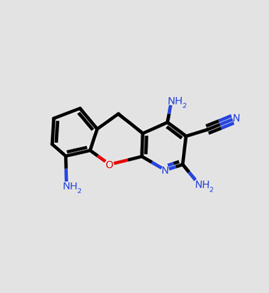 N#Cc1c(N)nc2c(c1N)Cc1cccc(N)c1O2